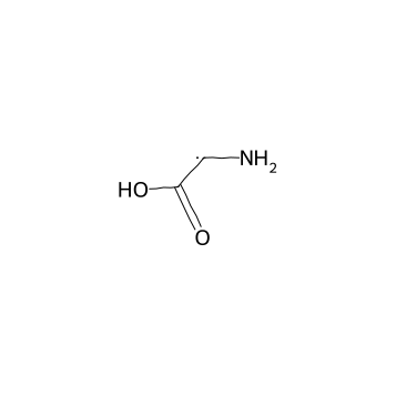 N[CH]C(=O)O